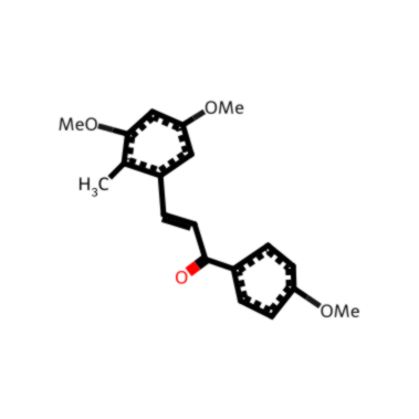 COc1ccc(C(=O)/C=C/c2cc(OC)cc(OC)c2C)cc1